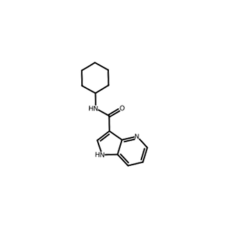 O=C(NC1CCCCC1)c1c[nH]c2cccnc12